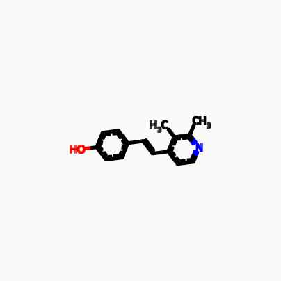 Cc1nccc(C=Cc2ccc(O)cc2)c1C